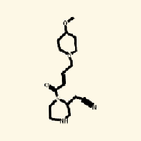 COC1CCN(CC=CC(=O)N2CCNCC2CC#N)CC1